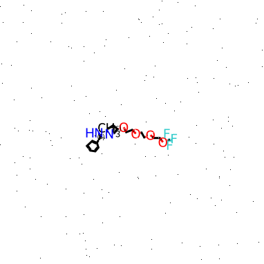 CN[C@H](CN1CC[C@H](OCCOCCOCCOC(F)(F)F)C1)c1ccccc1